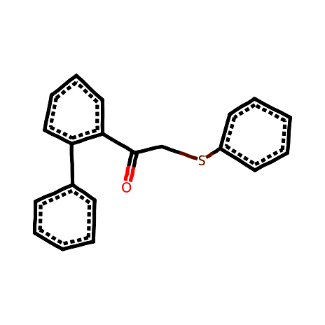 O=C(CSc1ccccc1)c1ccccc1-c1ccccc1